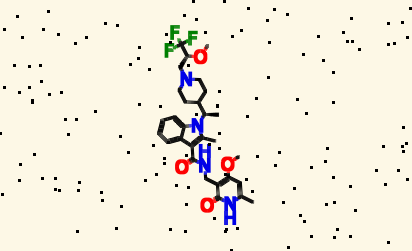 COc1cc(C)[nH]c(=O)c1CNC(=O)c1c(C)n([C@H](C)C2CCN(C[C@H](OC)C(F)(F)F)CC2)c2ccccc12